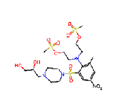 Cc1cc([N+](=O)[O-])cc(S(=O)(=O)N2CCN(CC(O)CO)CC2)c1N(CCOS(C)(=O)=O)CCOS(C)(=O)=O